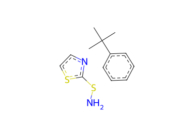 CC(C)(C)c1ccccc1.NSc1nccs1